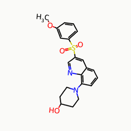 COc1cccc(S(=O)(=O)c2cnc3c(N4CCC(O)CC4)cccc3c2)c1